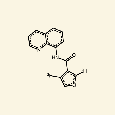 [2H]c1coc([2H])c1C(=O)Nc1cccc2cccnc12